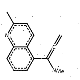 C=C=C(NC)c1cccc2nc(C)ccc12